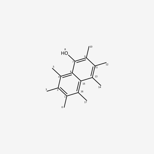 Cc1c(C)c(C)c2c(O)c(C)c(C)c(C)c2c1C